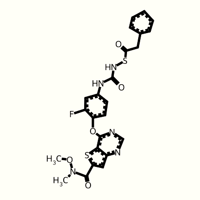 CON(C)C(=O)c1cc2ncnc(Oc3ccc(NC(=O)NSC(=O)Cc4ccccc4)cc3F)c2s1